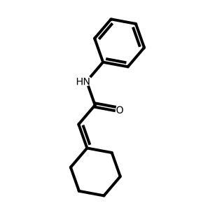 O=C(C=C1CCCCC1)Nc1ccccc1